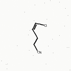 N#CCC/[C]=C\Cl